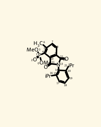 COP(=O)(OC)c1c(C)ccc2c1C(=O)N(c1c(C(C)C)cccc1C(C)C)C2=O